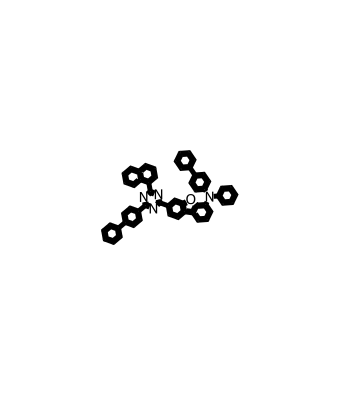 c1ccc(-c2ccc(-c3nc(-c4ccc5c(c4)oc4c(N(c6ccccc6)c6ccc(-c7ccccc7)cc6)cccc45)nc(-c4cccc5ccccc45)n3)cc2)cc1